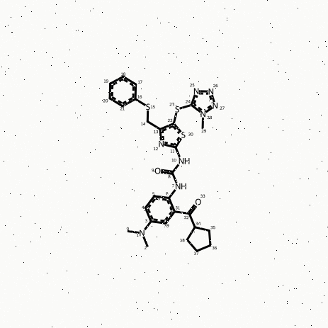 CN(C)c1ccc(NC(=O)Nc2nc(CSc3ccccc3)c(Sc3nnnn3C)s2)c(C(=O)C2CCCC2)c1